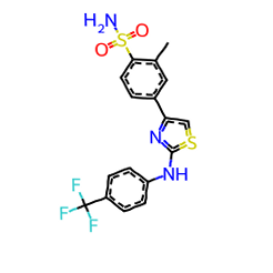 Cc1cc(-c2csc(Nc3ccc(C(F)(F)F)cc3)n2)ccc1S(N)(=O)=O